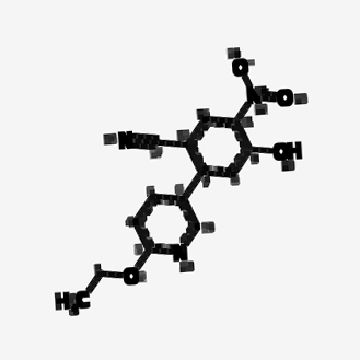 CCOc1ccc(-c2cc(O)c([N+](=O)[O-])cc2C#N)cn1